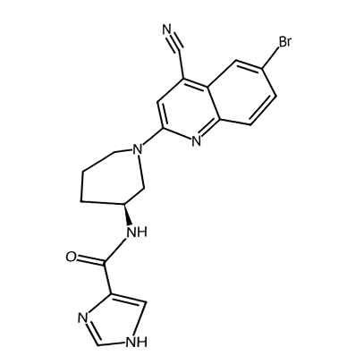 N#Cc1cc(N2CCC[C@H](NC(=O)c3c[nH]cn3)C2)nc2ccc(Br)cc12